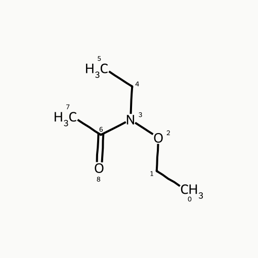 CCON(CC)C(C)=O